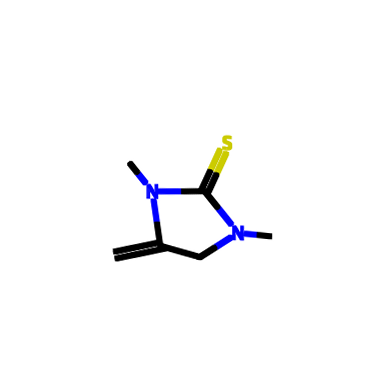 C=C1CN(C)C(=S)N1C